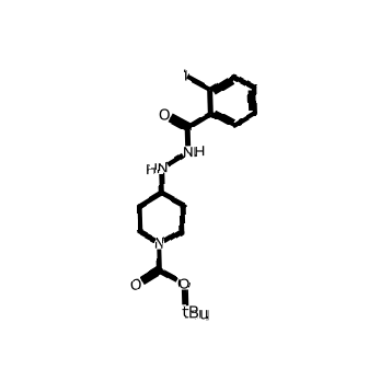 CC(C)(C)OC(=O)N1CCC(NNC(=O)c2ccccc2I)CC1